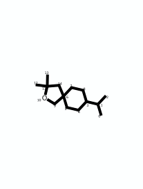 CC(C)C1CCC2(CC1)COC(C)(C)C2